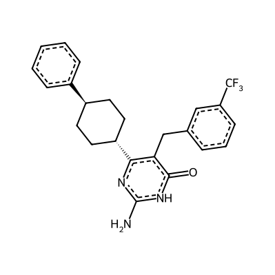 Nc1nc([C@H]2CC[C@H](c3ccccc3)CC2)c(Cc2cccc(C(F)(F)F)c2)c(=O)[nH]1